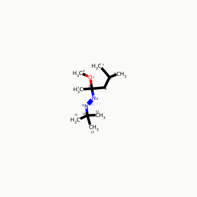 COC(C)(CC(C)C)/N=N/C(C)(C)C